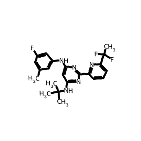 Cc1cc(F)cc(Nc2cc(NC(C)(C)C)nc(-c3cccc(C(C)(F)F)n3)n2)c1